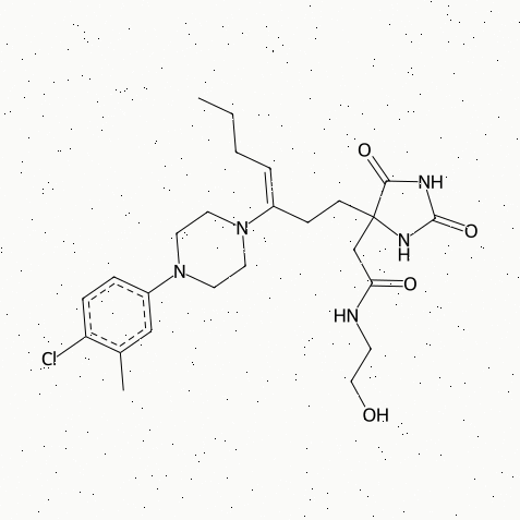 CCC/C=C(/CCC1(CC(=O)NCCO)NC(=O)NC1=O)N1CCN(c2ccc(Cl)c(C)c2)CC1